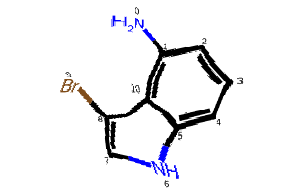 Nc1cccc2[nH]cc(Br)c12